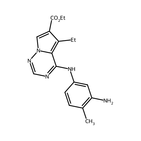 CCOC(=O)c1cn2ncnc(Nc3ccc(C)c(N)c3)c2c1CC